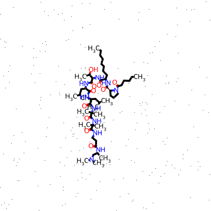 CCCCCCCCC(NC(=O)[C@@H]1CCCN1C(=O)CCCCC)C(=O)NC(C(=O)NC(CC(C)C)C(=O)NC(CC(C)C)C(=O)NC(C)(C)C(=O)NC(C)(C)C(=O)NCCC(=O)NC(C)CN(C)C)C(C)O